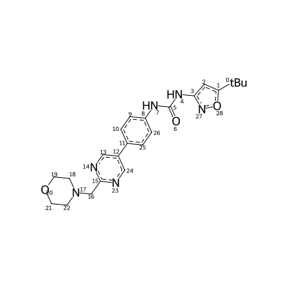 CC(C)(C)c1cc(NC(=O)Nc2ccc(-c3cnc(CN4CCOCC4)nc3)cc2)no1